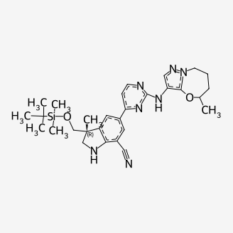 CC1CCCn2ncc(Nc3nccc(-c4cc(C#N)c5c(c4)[C@@](C)(CO[Si](C)(C)C(C)(C)C)CN5)n3)c2O1